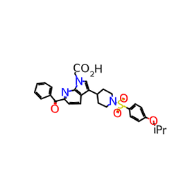 CC(C)Oc1ccc(S(=O)(=O)N2CCC(c3cn(CC(=O)O)c4nc(C(=O)c5ccccc5)ccc34)CC2)cc1